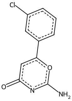 Nc1nc(=O)cc(-c2cccc(Cl)c2)o1